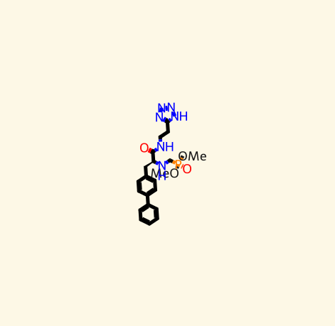 COP(=O)(CN[C@@H](Cc1ccc(-c2ccccc2)cc1)C(=O)NCCc1nnn[nH]1)OC